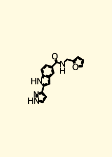 O=C(NCc1ccco1)c1ccc2[nH]c(-c3cc[nH]n3)cc2c1